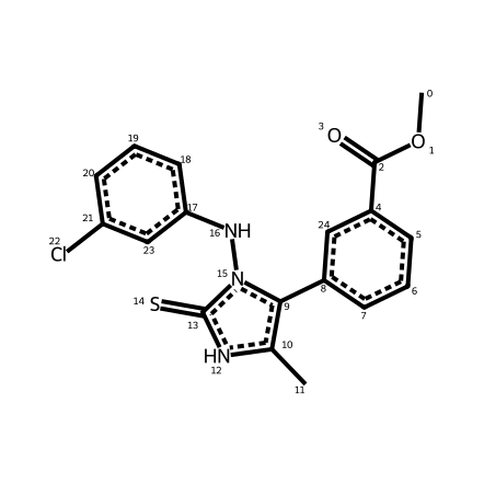 COC(=O)c1cccc(-c2c(C)[nH]c(=S)n2Nc2cccc(Cl)c2)c1